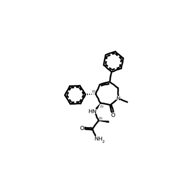 C[C@H](N[C@@H]1C(=O)N(C)CC(c2ccccc2)=C[C@H]1c1ccccc1)C(N)=O